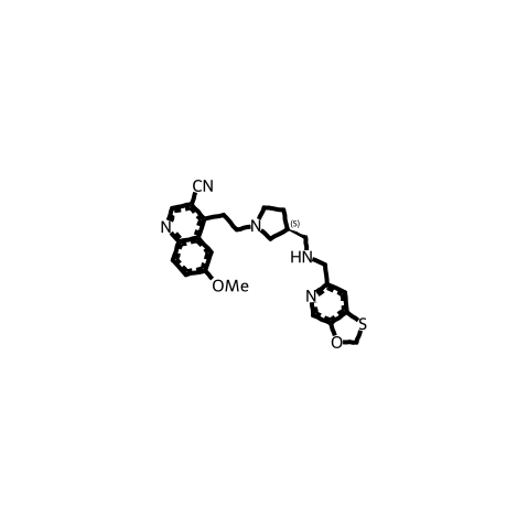 COc1ccc2ncc(C#N)c(CCN3CC[C@@H](CNCc4cc5c(cn4)OCS5)C3)c2c1